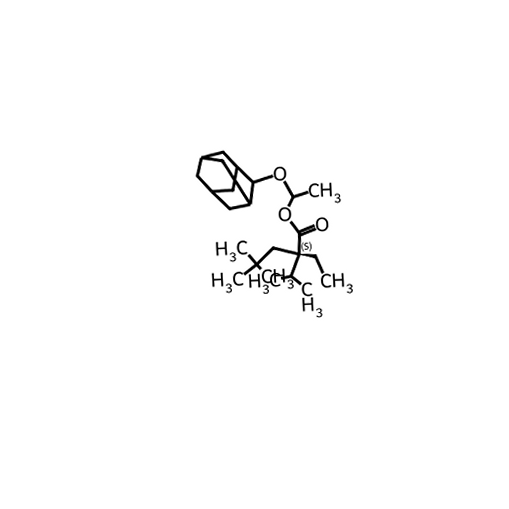 CC[C@@](CC(C)(C)C)(C(=O)OC(C)OC1C2CC3CC(C2)CC1C3)C(C)C